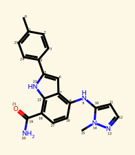 Cc1ccc(-c2cc3c(Nc4ccnn4C)ccc(C(N)=O)c3[nH]2)cc1